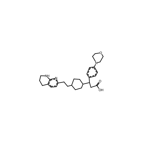 O=C(O)CC(c1ccc(N2CCOCC2)cc1)C1CCC(CCc2ccc3c(n2)NCCC3)CC1